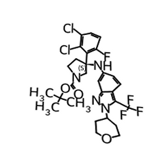 CC(C)(C)OC(=O)N1CC[C@](Nc2ccc3c(C(F)(F)F)n(C4CCOCC4)nc3c2)(c2c(F)ccc(Cl)c2Cl)C1